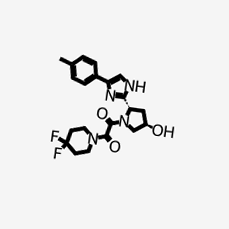 Cc1ccc(-c2c[nH]c([C@@H]3C[C@@H](O)CN3C(=O)C(=O)N3CCC(F)(F)CC3)n2)cc1